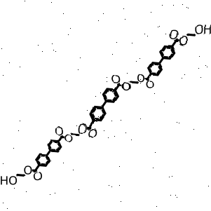 O=C(OCCO)c1ccc(-c2ccc(C(=O)OCCOC(=O)c3ccc(-c4ccc(C(=O)OCCOC(=O)c5ccc(-c6ccc(C(=O)OCCO)cc6)cc5)cc4)cc3)cc2)cc1